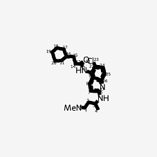 CNCCC(C)Nc1ccc2c(NC(=O)CCC3CCCCC3)c(Cl)ccc2n1